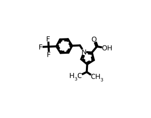 CC(C)c1cc(C(=O)O)n(Cc2ccc(C(F)(F)F)cc2)c1